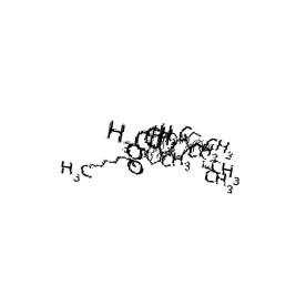 CCCCCCC(=O)O[C@H]1CC[C@]2(C)C3=C(CC[C@H]2C1(C)C)[C@]1(C)CC[C@H]([C@H](C)CCC=C(C)C)[C@@]1(C)CC3